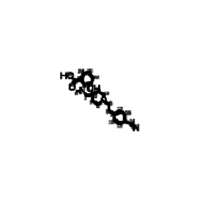 CN(CC1(O)CCN(CCc2ccc(C#N)cc2)CC1)c1ccccc1C(=O)O